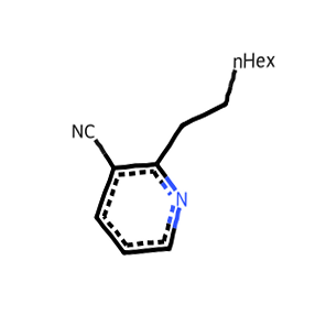 CCCCCCCCc1ncccc1C#N